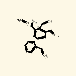 C=C.C=Cc1cccc(C=C)c1C=C.C=Cc1ccccc1